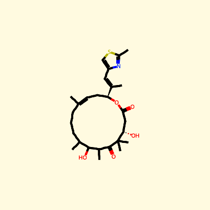 C/C1=C/C[C@@H](/C(C)=C/c2csc(C)n2)OC(=O)C[C@H](O)C(C)(C)C(=O)C(C)C(O)C(C)CCC1